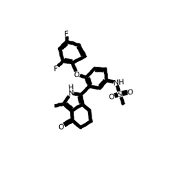 Cc1[nH]c(-c2cc(NS(C)(=O)=O)ccc2Oc2ccc(F)cc2F)c2c1C(=O)CCC2